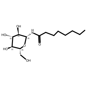 CCCCCCCC(=O)N[C@@H]1O[C@H](CO)[C@@H](O)[C@H](O)[C@H]1O